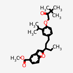 CCC(CCc1ccc(OCC(=O)C(C)(C)C)c(C(C)C)c1)c1cc2cc(C(=O)OC)ccc2o1